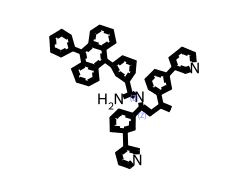 C=C(/C=C(\N=C(/N)c1cccc(-c2c3ccccc3c(-c3ccccc3)c3ccccc23)c1)c1cccc(-c2cccnc2)c1)c1cccc(-c2cccnc2)c1